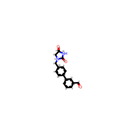 O=Cc1cccc(-c2ccc(CN3CC(=O)NC3=O)cc2)c1